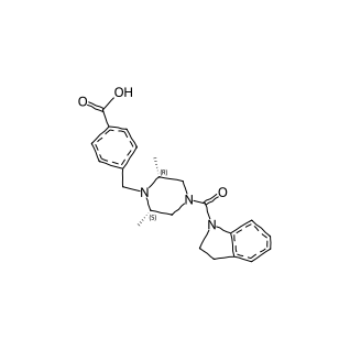 C[C@@H]1CN(C(=O)N2CCc3ccccc32)C[C@H](C)N1Cc1ccc(C(=O)O)cc1